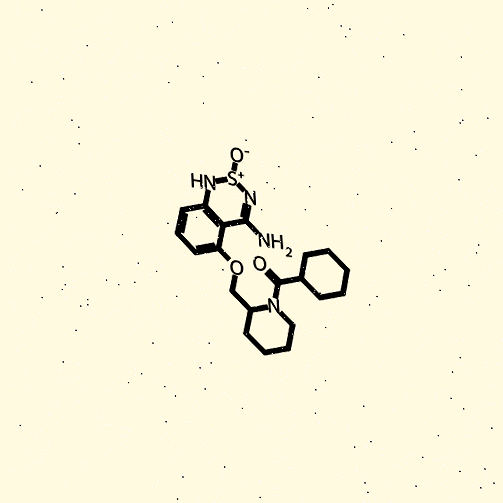 NC1=N[S+]([O-])Nc2cccc(OCC3CCCCN3C(=O)C3CCCCC3)c21